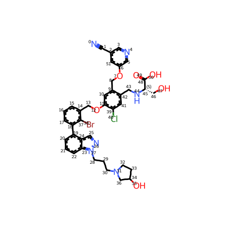 N#Cc1cncc(OCc2cc(OCc3cccc(-c4cccc5c4cnn5CCCN4CCC(O)C4)c3Br)c(Cl)cc2CN[C@@H](CO)C(=O)O)c1